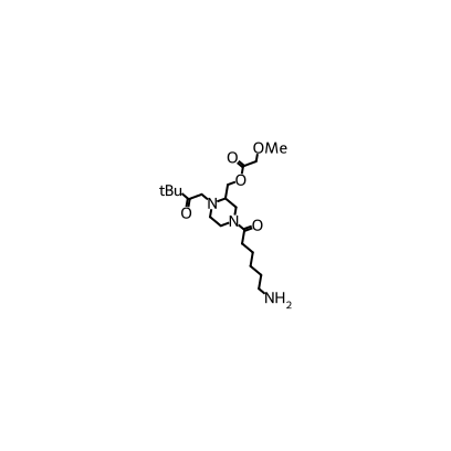 COCC(=O)OCC1CN(C(=O)CCCCCN)CCN1CC(=O)C(C)(C)C